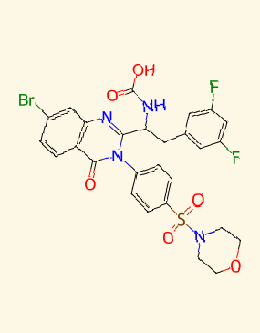 O=C(O)NC(Cc1cc(F)cc(F)c1)c1nc2cc(Br)ccc2c(=O)n1-c1ccc(S(=O)(=O)N2CCOCC2)cc1